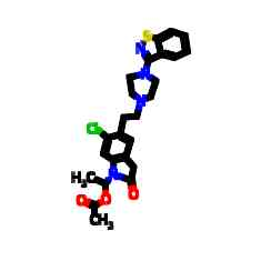 CC(=O)OC(C)N1C(=O)Cc2cc(CCN3CCN(c4nsc5ccccc45)CC3)c(Cl)cc21